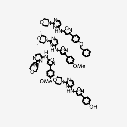 COc1ccc(-c2cc(Nc3ccnc(N4C5CCC4COC5)n3)on2)cc1.COc1ccc(-c2cc(Nc3ccnc(N4C[C@@H](C)O[C@@H](C)C4)n3)on2)cc1.Oc1ccc(-c2cc(Nc3ccnc(N4CCOCC4)n3)on2)cc1.c1ccc(COc2ccc(-c3cc(Nc4ccnc(N5CCOCC5)n4)on3)cc2)cc1